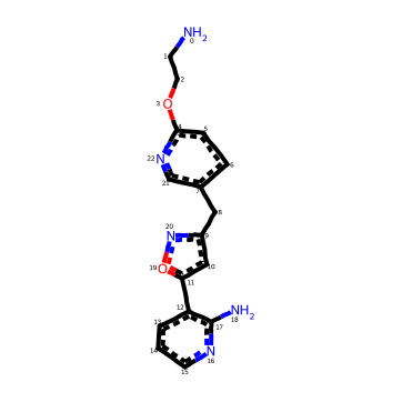 NCCOc1ccc(Cc2cc(-c3cccnc3N)on2)cn1